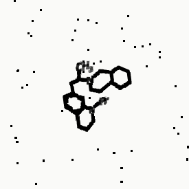 CC(Cc1ccc2c(c1)N(C(C)C)CCC2)N1CCC2CCCCC2C1